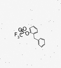 O=S(=O)(Oc1ccccc1Cc1ccccc1)C(F)(F)F